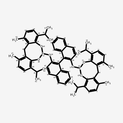 Cc1ccc(C(C)C)c2c1Cc1c(C)ccc(C(C)C)c1OP(Oc1ccc3ccccc3c1-c1c(OP3Oc4c(C(C)C)ccc(C)c4Cc4c(C)ccc(C(C)C)c4O3)ccc3ccccc13)O2